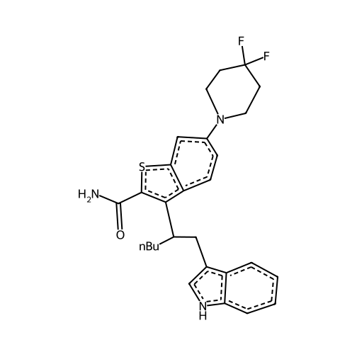 CCCCC(Cc1c[nH]c2ccccc12)c1c(C(N)=O)sc2cc(N3CCC(F)(F)CC3)ccc12